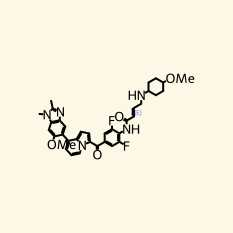 COc1cc2c(cc1-c1cccn3c(C(=O)c4cc(F)c(NC(=O)/C=C/CNC5CCC(OC)CC5)c(F)c4)ccc13)nc(C)n2C